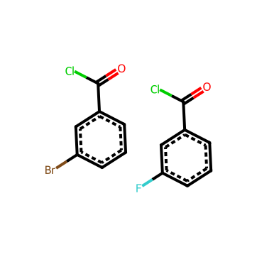 O=C(Cl)c1cccc(Br)c1.O=C(Cl)c1cccc(F)c1